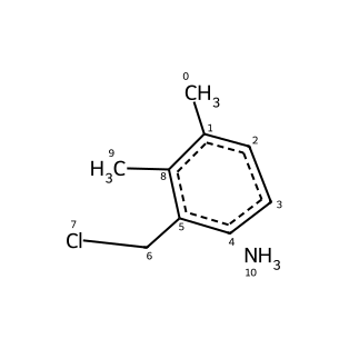 Cc1cccc(CCl)c1C.N